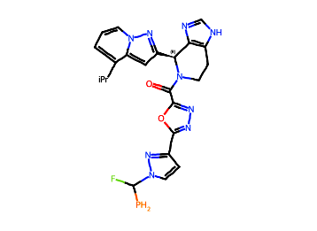 CC(C)c1cccn2nc([C@H]3c4nc[nH]c4CCN3C(=O)c3nnc(-c4ccn(C(F)P)n4)o3)cc12